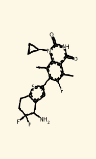 Cc1c(F)c(-c2cc3c(s2)CCC(F)(F)C3N)c(C)c2c1c(=O)[nH]c(=O)n2C1CC1